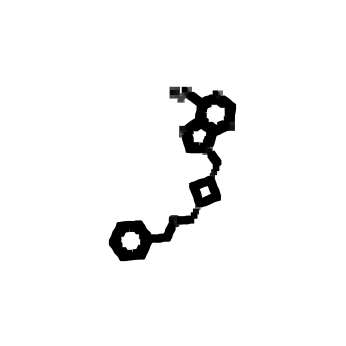 Nc1ncnc2c1ncn2C[C@H]1C[C@@H](COCc2ccccc2)C1